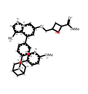 CNC(=O)C12CC(COc3cc(-c4ccc(N5CC6CC(C5)N6Cc5ccc(OC)nc5)nc4)c4c(C#N)cnn4c3)(C1)C2